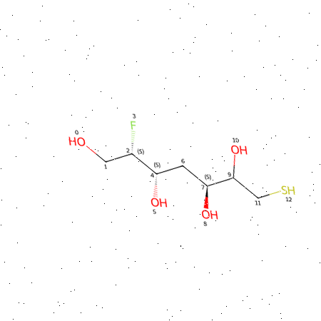 OC[C@H](F)[C@@H](O)C[C@H](O)C(O)CS